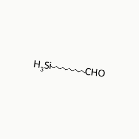 O=CCCCCCCCCCCC[SiH3]